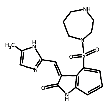 Cc1cnc(/C=C2\C(=O)Nc3cccc(S(=O)(=O)N4CCCNCC4)c32)[nH]1